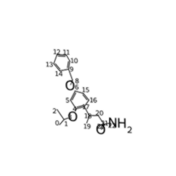 CC(C)Oc1cc(OCc2ccccc2)ccc1C(C)CC(N)=O